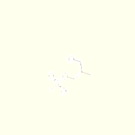 CC(C[O])COS(C)(=O)=O